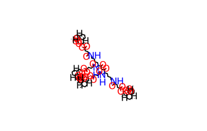 C[C@H]1[C@H](OC(=O)CCC(=O)NCCCCC(NC(=O)CCC(=O)O[C@H]2C[C@@H]3CC[C@@H](C)[C@@H]4CC[C@]5(C)OO[C@@]34[C@H](O2)O5)C(=O)CC(=O)C(CCCCNC(=O)CCC(=O)O[C@@H]2O[C@@H]3O[C@]4(C)CC[C@H]5[C@H](C)CC[C@@H]([C@H]2C)[C@@]35OO4)NC(=O)CCC(=O)O[C@@H]2O[C@@H]3O[C@]4(C)CC[C@H]5[C@H](C)CC[C@@H]([C@H]2C)[C@@]35OO4)O[C@@H]2O[C@]3(C)CC[C@H]4[C@H](C)CC[C@@H]1[C@@]24OO3